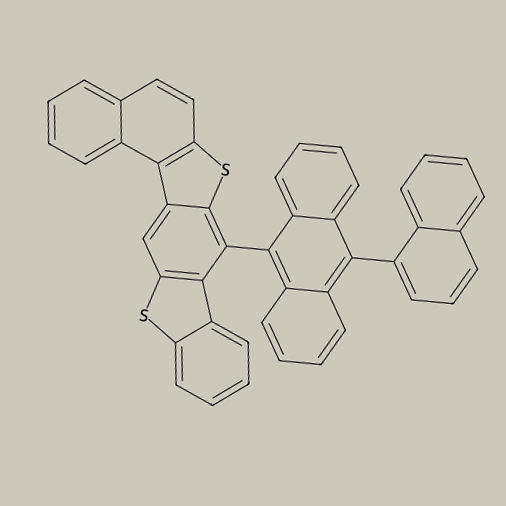 c1ccc2c(-c3c4ccccc4c(-c4c5sc6ccc7ccccc7c6c5cc5sc6ccccc6c45)c4ccccc34)cccc2c1